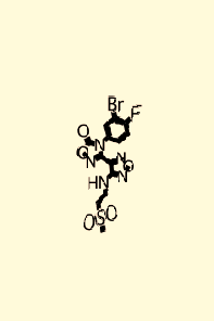 CS(=O)(=O)CCNc1nonc1-c1noc(=O)n1-c1ccc(F)c(Br)c1